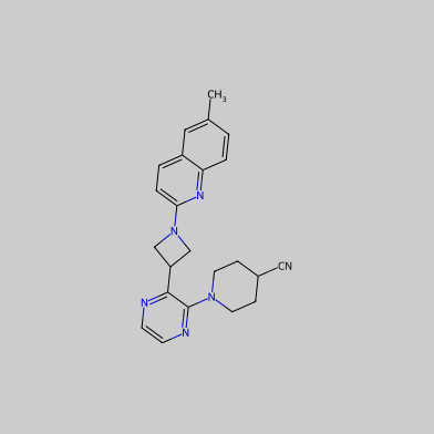 Cc1ccc2nc(N3CC(c4nccnc4N4CCC(C#N)CC4)C3)ccc2c1